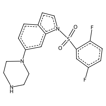 O=S(=O)(c1cc(F)ccc1F)n1ccc2ccc(N3CCNCC3)cc21